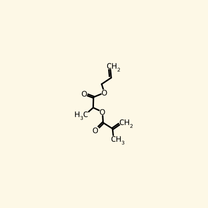 C=CCOC(=O)C(C)OC(=O)C(=C)C